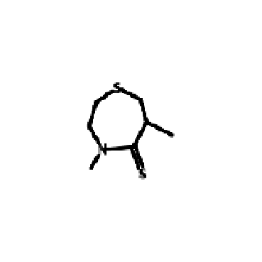 CC1CSCCN(C)C1=S